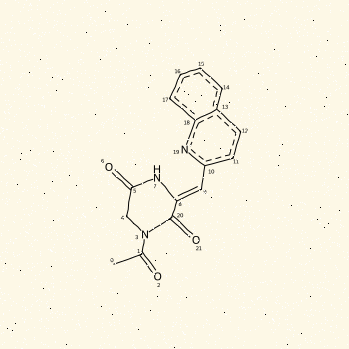 CC(=O)N1CC(=O)NC(=Cc2ccc3ccccc3n2)C1=O